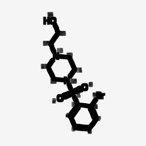 O=S(=O)(c1ccccc1Br)N1CCN(CCO)CC1